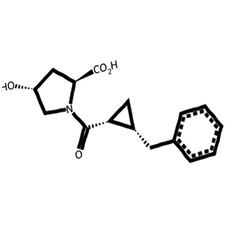 O=C(O)[C@@H]1C[C@@H](O)CN1C(=O)[C@@H]1C[C@@H]1Cc1ccccc1